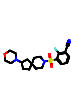 N#Cc1cccc(S(=O)(=O)N2CCC3(CCC(N4CCOCC4)C3)CC2)c1F